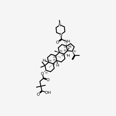 C=C(C)[C@@H]1CC[C@]2(NC(=O)N3CCN(C)CC3)CC[C@]3(C)[C@H](CC[C@@H]4[C@@]5(C)CC[C@H](OC(=O)CC(C)(C)C(=O)O)C(C)(C)[C@@H]5CC[C@]43C)[C@@H]12